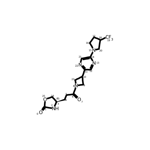 O=C1N[C@H](CCC(=O)N2CC(c3cnc(N4CCC(C(F)(F)F)C4)cn3)C2)CO1